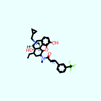 CCC1CC(N(C)C(=O)/C=C/c2cccc(C(F)(F)F)c2)C2Oc3c(O)ccc4c3[C@@]23CCN(CC2CC2)[C@H](C4)[C@]13O